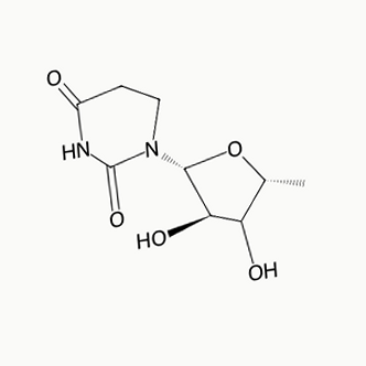 C[C@H]1O[C@@H](N2CCC(=O)NC2=O)[C@H](O)C1O